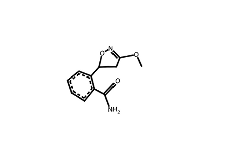 COC1=NOC(c2ccccc2C(N)=O)C1